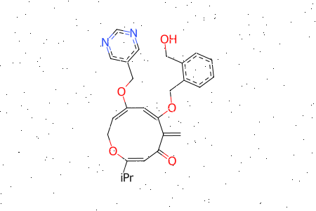 C=C1C(=O)/C=C(/C(C)C)OC/C=C(OCc2cncnc2)\C=C/1OCc1ccccc1CO